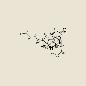 CCCCSC1CC2=CC(=O)O[C@@]23C[C@@H]1N1CCCC[C@@H]13